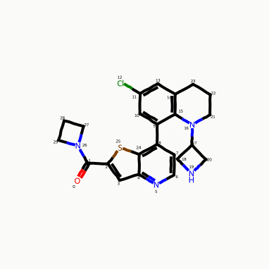 O=C(c1cc2nccc(-c3cc(Cl)cc4c3N(C3CNC3)CCC4)c2s1)N1CCC1